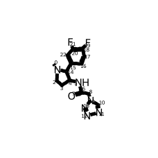 CN1CCC(NC(=O)Cn2cnnn2)C1c1ccc(F)c(F)c1